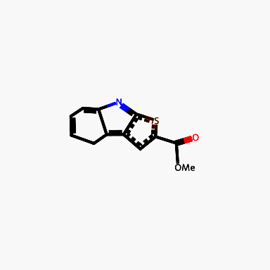 COC(=O)c1cc2c(s1)=NC1=CC=CCC=21